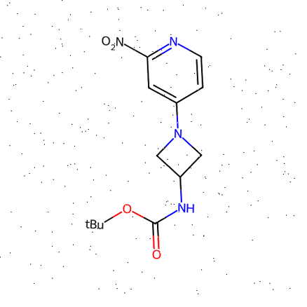 CC(C)(C)OC(=O)NC1CN(c2ccnc([N+](=O)[O-])c2)C1